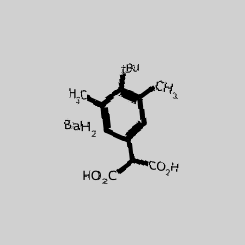 Cc1cc(C(C(=O)O)C(=O)O)cc(C)c1C(C)(C)C.[BaH2]